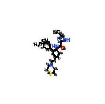 CC1(C)CC=C(c2cc(CCN3CCSCC3)ccc2NC(=O)c2nc(C#N)c[nH]2)CC1